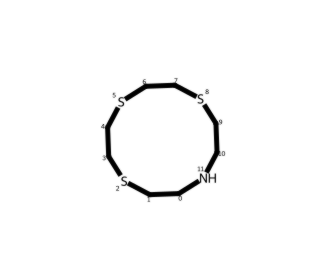 C1CSCCSCCSCCN1